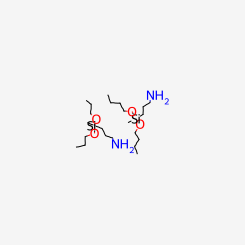 CCCCO[Si](C)(CCCN)OCCCC.CCCO[Si](C)(CCCN)OCCC